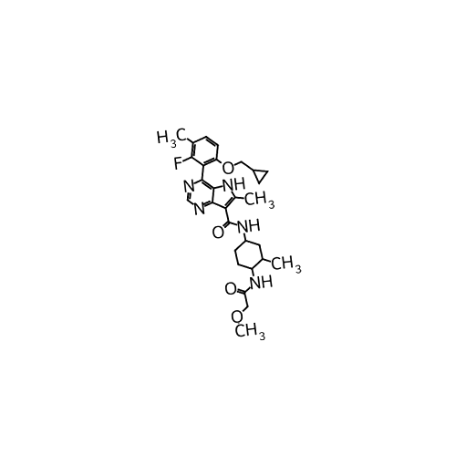 COCC(=O)NC1CCC(NC(=O)c2c(C)[nH]c3c(-c4c(OCC5CC5)ccc(C)c4F)ncnc23)CC1C